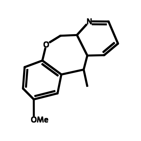 COc1ccc2c(c1)C(C)C1C=CC=NC1CO2